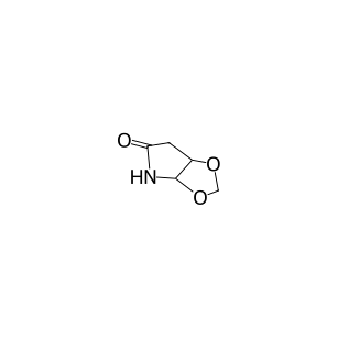 O=C1CC2OCOC2N1